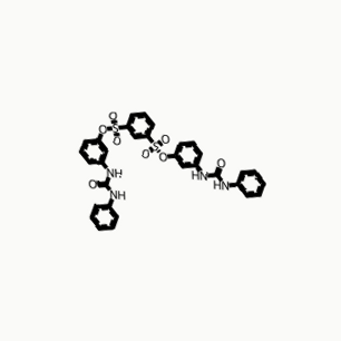 O=C(Nc1ccccc1)Nc1cccc(OS(=O)(=O)c2cccc(S(=O)(=O)Oc3cccc(NC(=O)Nc4ccccc4)c3)c2)c1